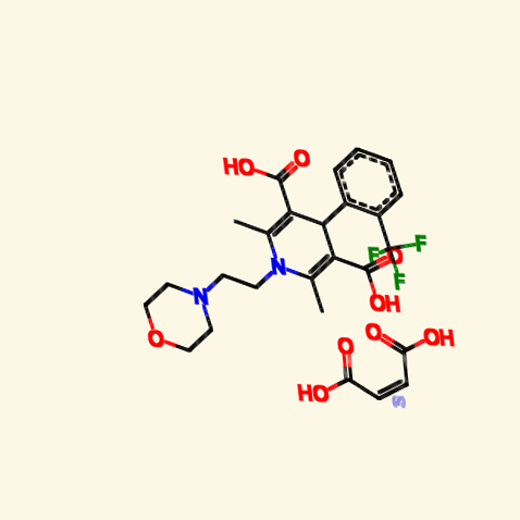 CC1=C(C(=O)O)C(c2ccccc2C(F)(F)F)C(C(=O)O)=C(C)N1CCN1CCOCC1.O=C(O)/C=C\C(=O)O